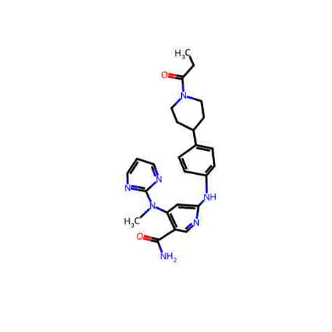 CCC(=O)N1CCC(c2ccc(Nc3cc(N(C)c4ncccn4)c(C(N)=O)cn3)cc2)CC1